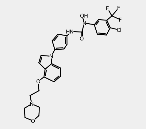 O=C(Nc1ccc(-n2ccc3c(OCCN4CCOCC4)cccc32)cc1)N(O)c1ccc(Cl)c(C(F)(F)F)c1